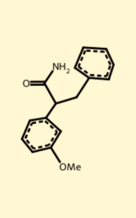 COc1cccc(C(Cc2ccccc2)C(N)=O)c1